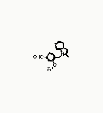 Cc1cc2ccccc2n1Cc1ccc(C=O)cc1OC(C)C